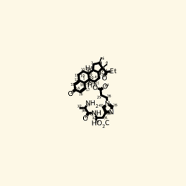 CCC(=O)[C@@]1(C)[C@H](C)CC2[C@@H]3CCC4=CC(=O)C=C[C@]4(C)[C@H]3[C@@H](OC(=O)CCn3cnc(CC(NC(=O)C(C)N)C(=O)O)c3)C[C@@]21C